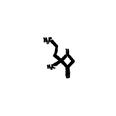 CCCC1(C)NCC1=O